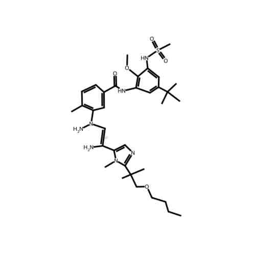 CCCCOCC(C)(C)c1ncc(/C(N)=C/N(N)c2cc(C(=O)Nc3cc(C(C)(C)C)cc(NS(C)(=O)=O)c3OC)ccc2C)n1C